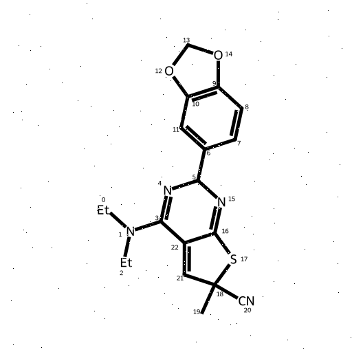 CCN(CC)C1=NC(c2ccc3c(c2)OCO3)N=C2SC(C)(C#N)C=C21